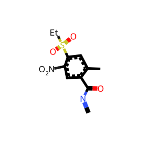 C=NC(=O)c1cc([N+](=O)[O-])c(S(=O)(=O)CC)cc1C